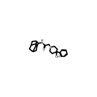 O=C(CN1CCC(O)(c2ccccc2)CC1)NC1C2CC3CC(C2)CC1C3